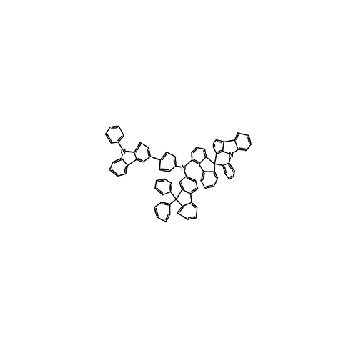 c1ccc(-n2c3ccccc3c3cc(-c4ccc(N(c5ccc6c(c5)C(c5ccccc5)(c5ccccc5)c5ccccc5-6)c5cccc6c5-c5ccccc5C65c6ccccc6-n6c7ccccc7c7cccc5c76)cc4)ccc32)cc1